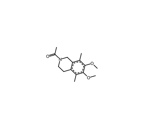 COc1c(C)c2c(c(C)c1OC)CN(C(C)=O)CC2